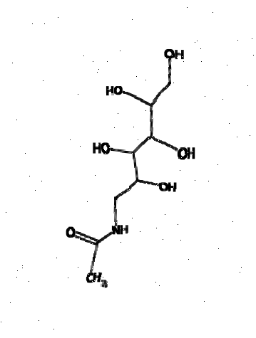 CC(=O)NCC(O)C(O)C(O)C(O)CO